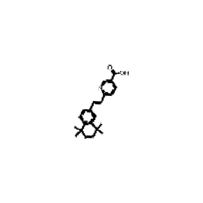 CC1(C)CCC(C)(C)c2cc(C=Cc3ccc(C(=O)O)cn3)ccc21